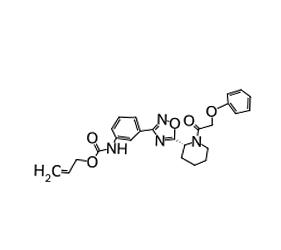 C=CCOC(=O)Nc1cccc(-c2noc([C@H]3CCCCN3C(=O)COc3ccccc3)n2)c1